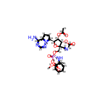 COC(=O)[C@H](C)N[P@](=O)(OC[C@@]1(C#N)O[C@@H](c2ccc3c(N)ncnn23)[C@H](OC(C)=O)[C@@H]1OC(C)=O)Oc1ccccc1